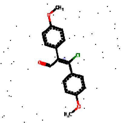 COc1ccc(/C(Cl)=C(\C=O)c2ccc(OC)cc2)cc1